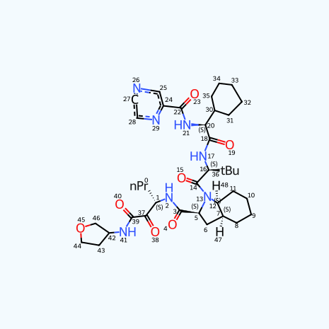 CCC[C@H](NC(=O)[C@@H]1C[C@@H]2CCCC[C@@H]2N1C(=O)[C@@H](NC(=O)[C@@H](NC(=O)c1cnccn1)C1CCCCC1)C(C)(C)C)C(=O)C(=O)NC1CCOC1